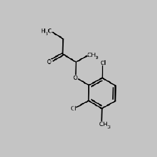 CCC(=O)C(C)Oc1c(Cl)ccc(C)c1Cl